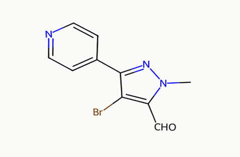 Cn1nc(-c2ccncc2)c(Br)c1C=O